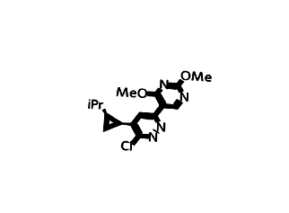 COc1ncc(-c2cc([C@H]3C[C@H]3C(C)C)c(Cl)nn2)c(OC)n1